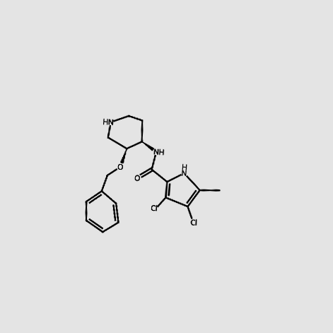 Cc1[nH]c(C(=O)N[C@@H]2CCNC[C@@H]2OCc2ccccc2)c(Cl)c1Cl